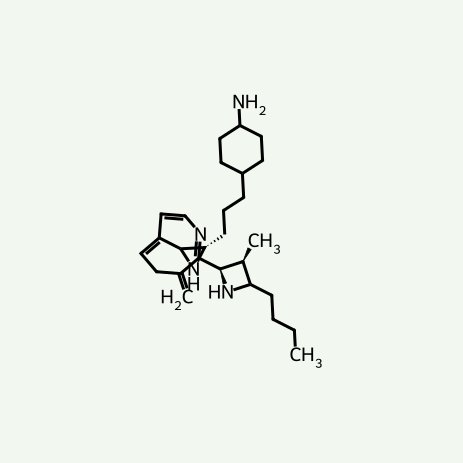 C=C1C/C=C(C2N[C@H]2CCCC2CCC(N)CC2)/C=C\N=C/1[C@@H]1NC(CCCC)[C@@H]1C